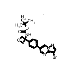 CC(C)(C)OC(=O)NC1(c2ccc(-c3cnc4c(Br)cnn4c3)cc2)COC1